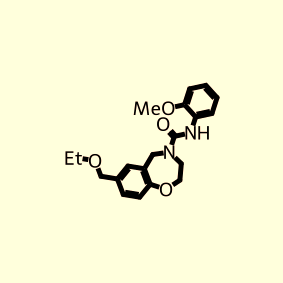 CCOCc1ccc2c(c1)CN(C(=O)Nc1ccccc1OC)CCO2